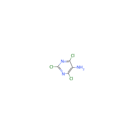 Nc1c(Cl)nc(Cl)nc1Cl